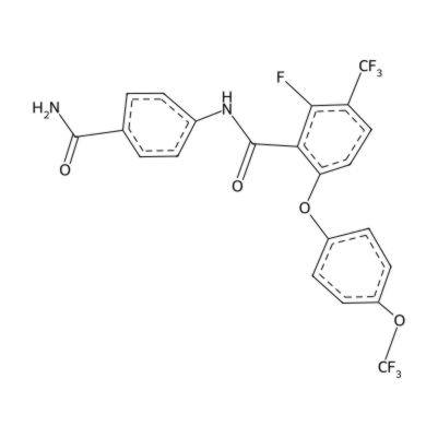 NC(=O)c1ccc(NC(=O)c2c(Oc3ccc(OC(F)(F)F)cc3)ccc(C(F)(F)F)c2F)cc1